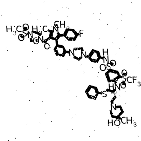 Cc1c(C(=O)N2CCN(S(C)(=O)=O)CC2)c(-c2cccc(N3CCN(c4ccc(NS(=O)(=O)c5ccc(N[C@H](CCN6CCC(C)(O)CC6)CSc6ccccc6)c(S(=O)(=O)C(F)(F)F)c5)cc4)CC3)c2)c(-c2ccc(F)cc2)n1C